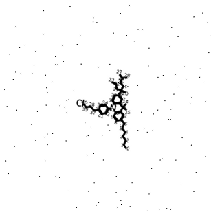 CCCCCCCc1ccc2c(c1)C(C)(C)c1cc(C(C)(CCC)CCC(C)C)ccc1N2c1ccc(CCCCl)cc1